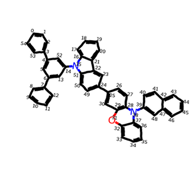 c1ccc(-c2cc(-c3ccccc3)cc(-n3c4ccccc4c4cc(-c5ccc6c(c5)Oc5ccccc5N6c5ccc6ccccc6c5)ccc43)c2)cc1